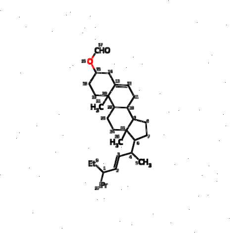 CCC(/C=C/C(C)C1CCC2C3CC=C4CC(OC=O)CCC4(C)C3CCC12C)C(C)C